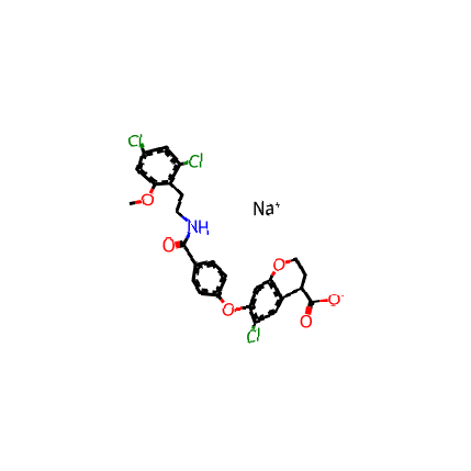 COc1cc(Cl)cc(Cl)c1CCNC(=O)c1ccc(Oc2cc3c(cc2Cl)C(C(=O)[O-])CCO3)cc1.[Na+]